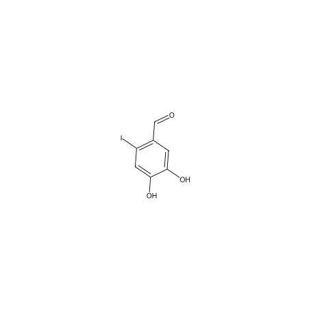 O=Cc1cc(O)c(O)cc1I